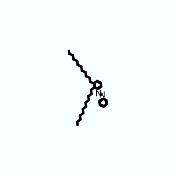 CCCCCCCCCCCCc1cccc(N=Nc2ccccc2)c1CCCCCCCCCCCC